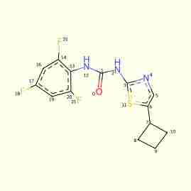 O=C(Nc1ncc(C2CCC2)s1)Nc1c(F)cc(F)cc1F